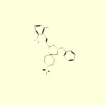 CS(=O)(=O)N1CCC2(CC1)CN(Cc1ccccc1)CC(/C=C/c1c(F)cccc1[N+](=O)[O-])O2